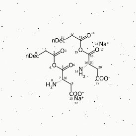 CCCCCCCCCCCC(=O)OC(=O)[C@@H](N)CC(=O)[O-].CCCCCCCCCCCC(=O)OC(=O)[C@@H](N)CC(=O)[O-].[Na+].[Na+]